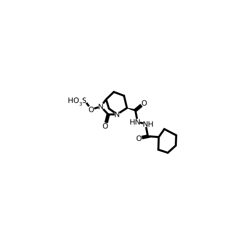 O=C(NNC(=O)[C@@H]1CCC2CN1C(=O)N2OS(=O)(=O)O)C1CCCCC1